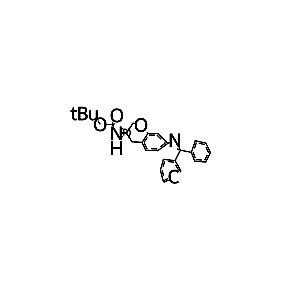 CC(C)(C)OC(=O)N[C@H]1COc2cc(N=C(c3ccccc3)c3ccccc3)ccc2C1